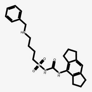 O=C(Nc1c2c(cc3c1CCC3)CCC2)NS(=O)(=O)CCCCNCc1ccccc1